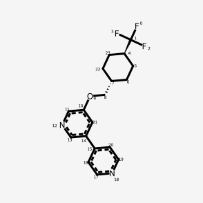 FC(F)(F)[C@H]1CC[C@H](COc2cncc(-c3ccncc3)c2)CC1